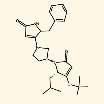 CC(C)C[C@H]1C(OC(C)(C)C)=CC(=O)N1[C@H]1CCN(C2=CC(=O)NC2Cc2ccccc2)C1